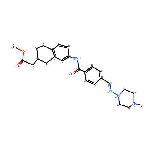 CCCCOC(=O)CC1CCc2ccc(NC(=O)c3ccc(C=NN4CCN(C)CC4)cc3)cc2C1